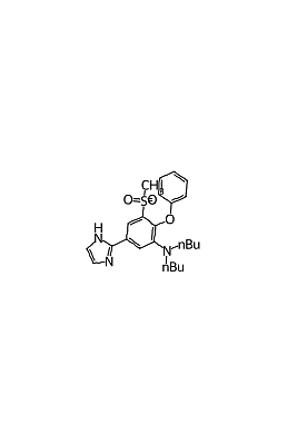 CCCCN(CCCC)c1cc(-c2ncc[nH]2)cc(S(C)(=O)=O)c1Oc1ccccc1